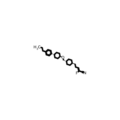 CCCc1ccc([C@H]2CC[C@H](OC[C@H]3CC[C@H](CCC=C(F)C#N)CC3)CC2)cc1